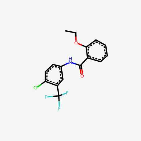 CCOc1ccccc1C(=O)Nc1ccc(Cl)c(C(F)(F)F)c1